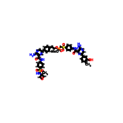 COP(=O)(CS(=O)(=O)c1ccc(NC(=O)c2nc(-c3ccc(C)c(O)c3)cnc2N)cc1)OCCc1ccc(-c2cnc(N)c(C(=O)Nc3ccc(S(=O)(=O)NC4(C)COC4)cc3)n2)cc1